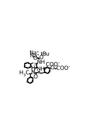 CC(NC(=O)[C@H](Cc1ccc(OCC(=O)[O-])c(C(=O)[O-])c1)NC(=O)[C@H](Cc1ccccc1)NC(=O)OC(C)(C)C)c1ccccc1.[Na+].[Na+]